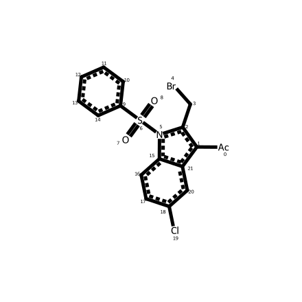 CC(=O)c1c(CBr)n(S(=O)(=O)c2ccccc2)c2ccc(Cl)cc12